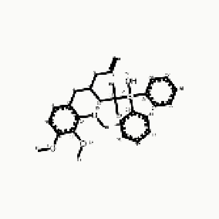 C=CCC(Cc1ccc(OC)c(OC)c1OC)CC(C)(C)[Si](O)(c1ccccc1)c1ccccc1